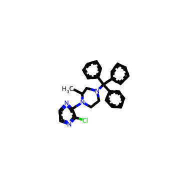 CC1CN(C(c2ccccc2)(c2ccccc2)c2ccccc2)CCN1c1nccnc1Cl